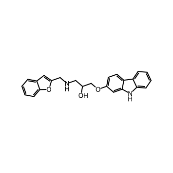 OC(CNCc1cc2ccccc2o1)COc1ccc2c(c1)[nH]c1ccccc12